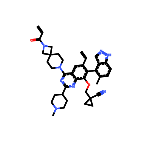 C=CC(=O)N1CC2(CCN(c3nc(C4CCN(C)CC4)nc4c(OCC5(C#N)CC5)c(-c5c(C)ccc6[nH]ncc56)c(C=C)cc34)CC2)C1